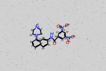 CN1CCN(c2cccc3ccc(NC(=O)c4cc([N+](=O)[O-])cc([N+](=O)[O-])c4)cc23)CC1